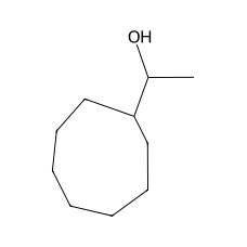 CC(O)C1CCCCCCC1